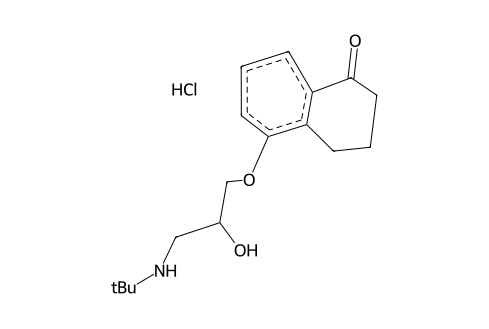 CC(C)(C)NCC(O)COc1cccc2c1CCCC2=O.Cl